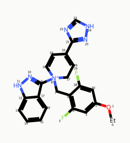 CCOc1cc(F)c(C[N+]2(c3n[nH]c4ccccc34)C=CC(c3nc[nH]n3)=CC2)c(F)c1